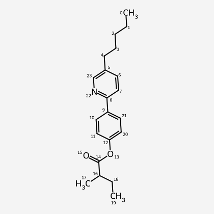 CCCCCc1ccc(-c2ccc(OC(=O)C(C)CC)cc2)nc1